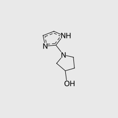 OC1CCN(c2ncc[nH]2)C1